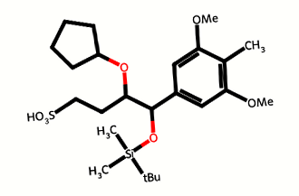 COc1cc(C(O[Si](C)(C)C(C)(C)C)C(CCS(=O)(=O)O)OC2CCCC2)cc(OC)c1C